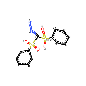 [N-]=[N+]=C(S(=O)(=O)c1ccccc1)S(=O)(=O)c1ccccc1